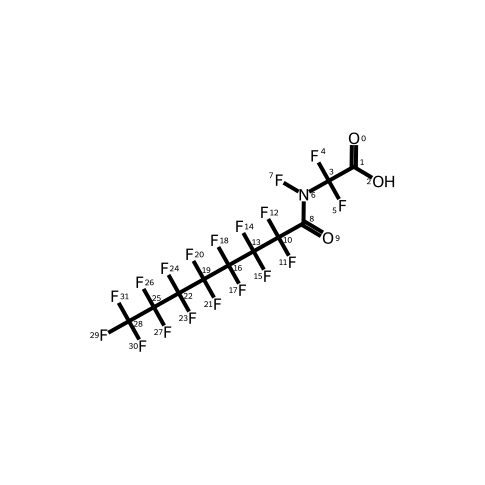 O=C(O)C(F)(F)N(F)C(=O)C(F)(F)C(F)(F)C(F)(F)C(F)(F)C(F)(F)C(F)(F)C(F)(F)F